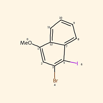 COc1cc(Br)c(I)c2ccccc12